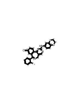 Fc1ccccc1C1=NCc2cnc(Nc3ccc4c(c3)OCCO4)nc2-c2ccc(Cl)cc21